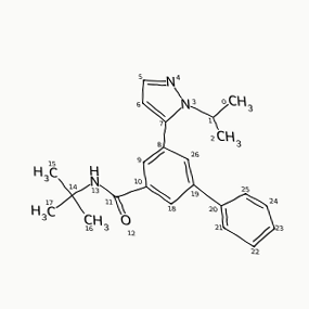 CC(C)n1nccc1-c1cc(C(=O)NC(C)(C)C)cc(-c2ccccc2)c1